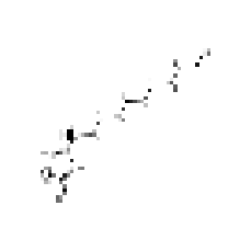 CCCCCCCCCCNc1coc(C)c1